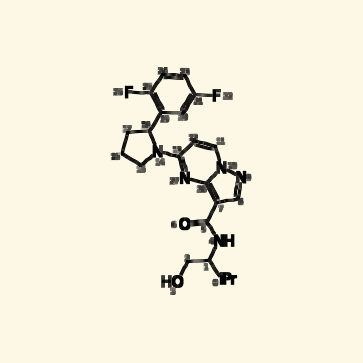 CC(C)C(CO)NC(=O)c1cnn2ccc(N3CCCC3c3cc(F)ccc3F)nc12